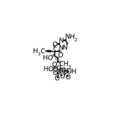 CC#CC1(F)[C@@H](O)[C@@H]([C@@H](C)OP(=O)(O)OP(=O)(O)OP(=O)(O)O)O[C@H]1n1ncc(N)nc1=O